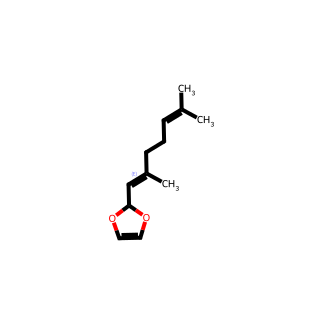 CC(C)=CCC/C(C)=C/C1OC=CO1